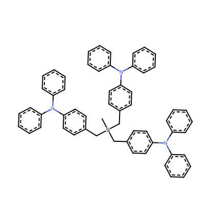 C[Si](Cc1ccc(N(c2ccccc2)c2ccccc2)cc1)(Cc1ccc(N(c2ccccc2)c2ccccc2)cc1)Cc1ccc(N(c2ccccc2)c2ccccc2)cc1